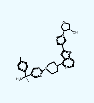 C[C@](N)(c1ccc(F)cc1)c1cnc(N2CCN(c3ncnc4[nH]c(-c5cnn([C@H]6COC[C@H]6O)c5)cc34)CC2)nc1